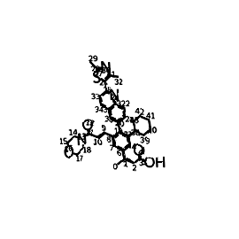 C/C(=C/C(=O)O)c1cc(/C=C/C(=O)N2CCOCC2)c(-c2ccc3nc(-c4sc(C)nc4C)ccc3c2)c(C2CCCCC2)c1